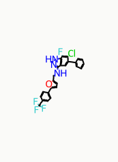 Fc1c(Cl)c(-c2ccccc2)cc2c(NCc3ccc(-c4ccc(C(F)(F)F)cc4)o3)n[nH]c12